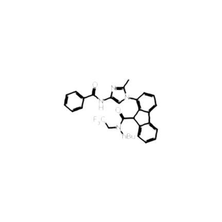 CCCCN(CC(F)(F)F)C(=O)C1c2ccccc2-c2cccc(-n3cc(NC(=O)c4ccccc4)nc3C)c21